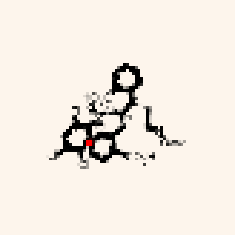 CON=CC[C@@H](c1ccccc1C(=O)O)[C@@H](Cc1ccccc1C(=O)O)OS(=O)(=O)c1cc(Cl)c(Cl)cc1Cl